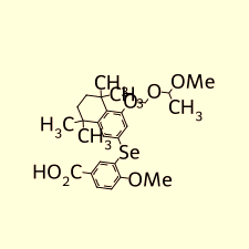 COc1ccc(C(=O)O)cc1[Se]c1cc(OCOC(C)OC)c2c(c1)C(C)(C)CCC2(C)C